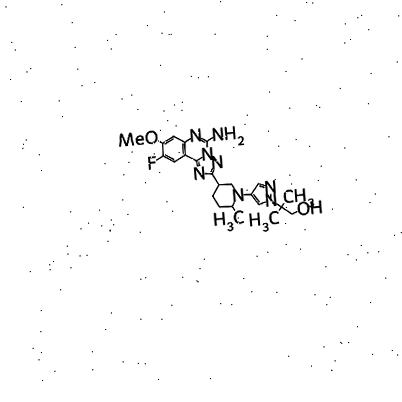 COc1cc2nc(N)n3nc(C4CCC(C)N(c5cnn(C(C)(C)CO)c5)C4)nc3c2cc1F